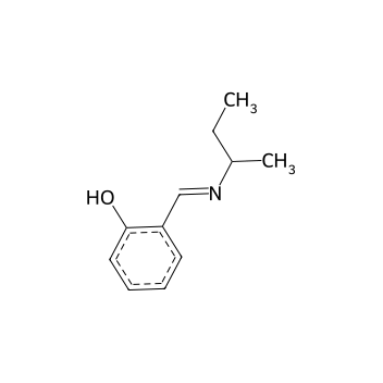 CCC(C)N=Cc1ccccc1O